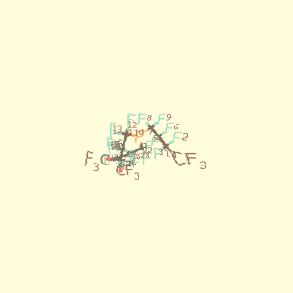 FC(F)(F)C(F)(F)C(F)(F)C(F)(F)P(C(F)(F)C(F)(F)C(F)(F)C(F)(F)F)C(F)(F)C(F)(F)C(F)(F)C(F)(F)F